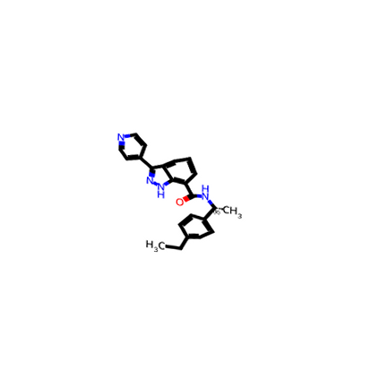 CCc1ccc([C@@H](C)NC(=O)c2cccc3c(-c4ccncc4)n[nH]c23)cc1